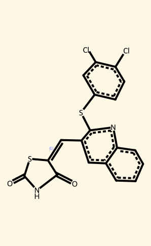 O=C1NC(=O)/C(=C\c2cc3ccccc3nc2Sc2ccc(Cl)c(Cl)c2)S1